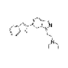 CCN(CC)CCN1N=CC2=CC=C(c3cc4ccccc4s3)CC21